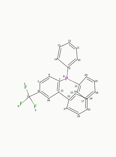 FC(F)(F)c1ccc(P(c2ccccc2)c2ccccc2)c(-c2ccccc2)c1